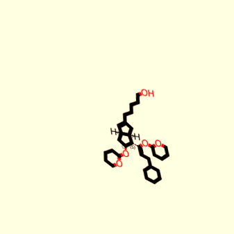 OCCCCCC1=C[C@@H]2C[C@H](OC3CCCCO3)[C@@H](C(=CCC3CCCCC3)OC3CCCCO3)[C@@H]2C1